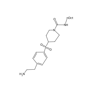 CCCCCCCCNC(=O)N1CCC(S(=O)(=O)c2ccc(CCN)cc2)CC1